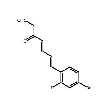 O=CCC(=O)C=CC=Cc1ccc(Br)cc1F